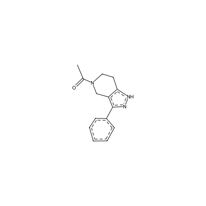 CC(=O)N1CCc2[nH]nc(-c3ccccc3)c2C1